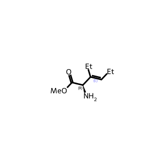 CC/C=C(\CC)[C@@H](N)C(=O)OC